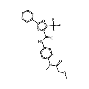 COCC(=O)N(C)c1ccc(NC(=O)c2nc(-c3ccccc3)oc2C(F)(F)F)cn1